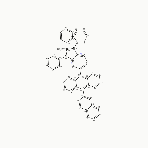 C=C(/C=C1\C(=C/C)N(c2ccccc2)P(=O)(c2ccccc2)N1c1ccccc1)c1c2ccccc2c(-c2ccc3ccccc3c2)c2ccccc12